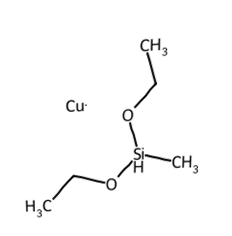 CCO[SiH](C)OCC.[Cu]